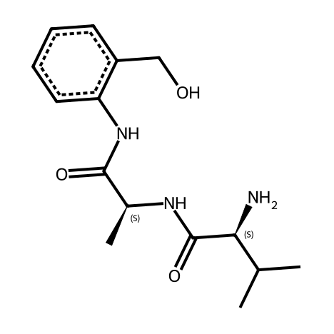 CC(C)[C@H](N)C(=O)N[C@@H](C)C(=O)Nc1ccccc1CO